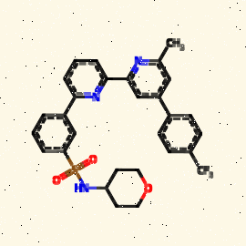 Cc1cc(-c2ccc(C(F)(F)F)cc2)cc(-c2cccc(-c3cccc(S(=O)(=O)NC4CCOCC4)c3)n2)n1